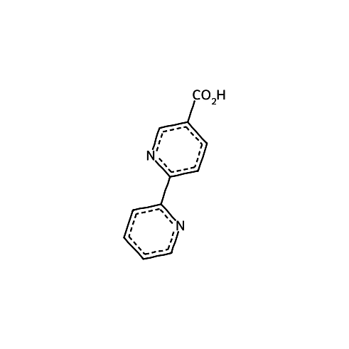 O=C(O)c1ccc(-c2ccccn2)nc1